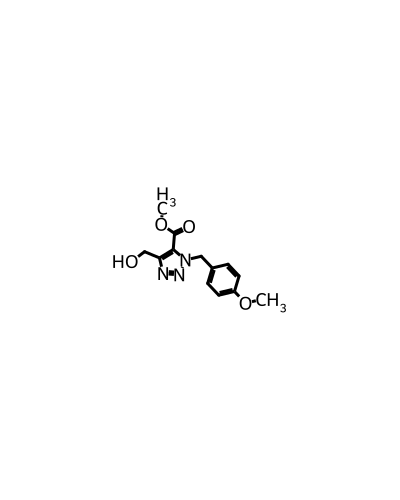 COC(=O)c1c(CO)nnn1Cc1ccc(OC)cc1